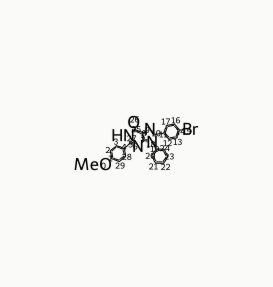 COc1ccc(-c2nc3c(nc(-c4ccc(Br)cc4)n3-c3ccccc3)c(=O)[nH]2)cc1